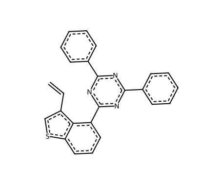 C=Cc1csc2cccc(-c3nc(-c4ccccc4)nc(-c4ccccc4)n3)c12